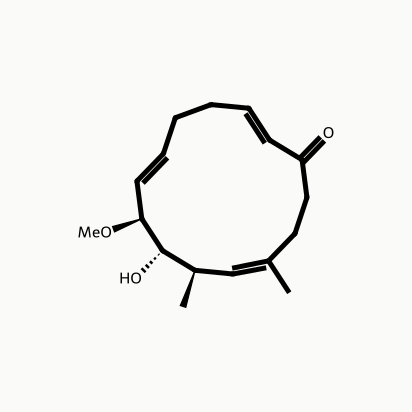 CO[C@H]1/C=C/CC/C=C/C(=O)CC/C(C)=C\[C@@H](C)[C@@H]1O